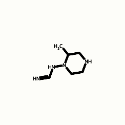 CC1CNCCN1NC=N